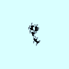 FC(F)C(F)(F)COCC(F)(F)N1C(F)(F)C(F)(F)OC(F)(F)C1(F)F